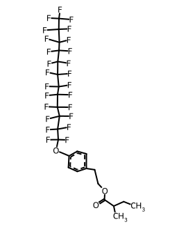 CCC(C)C(=O)OCCc1ccc(OC(F)(F)C(F)(F)C(F)(F)C(F)(F)C(F)(F)C(F)(F)C(F)(F)C(F)(F)C(F)(F)C(F)(F)C(F)(F)C(F)(F)F)cc1